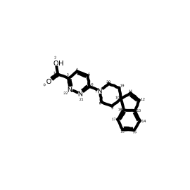 O=C(O)c1ccc(N2CCC3(C=Cc4ccccc43)CC2)nn1